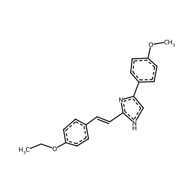 CCOc1ccc(/C=C/c2nc(-c3ccc(OC)cc3)c[nH]2)cc1